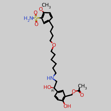 COc1ccc(CCCCOCCCCCCNC[C@H](O)c2ccc(O)c(COC(C)=O)c2)cc1S(N)(=O)=O